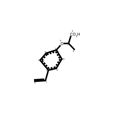 C=Cc1ccc(OC(C)C(=O)O)cc1